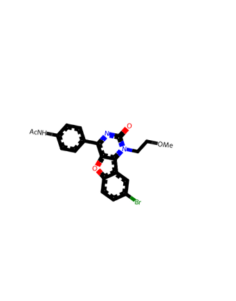 COCCn1c(=O)nc(-c2ccc(NC(C)=O)cc2)c2oc3ccc(Br)cc3c21